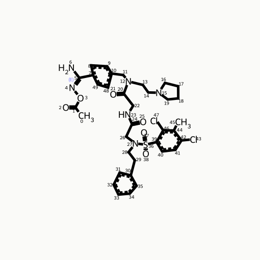 CC(=O)O/N=C(/N)c1ccc(CN(CCN2CCCC2)C(=O)CNC(=O)CN(CCc2ccccc2)S(=O)(=O)c2ccc(Cl)c(C)c2Cl)cc1